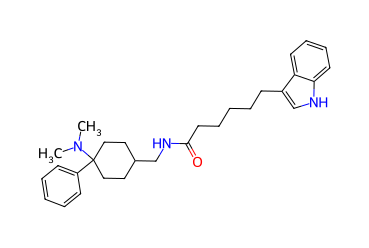 CN(C)C1(c2ccccc2)CCC(CNC(=O)CCCCCc2c[nH]c3ccccc23)CC1